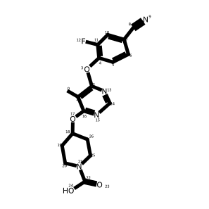 Cc1c(Oc2ccc(C#N)cc2F)ncnc1OC1CCN(C(=O)O)CC1